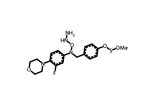 COSOc1ccc(CN(ONN)c2ccc(N3CCOCC3)c(F)c2)cc1